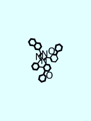 C1=C(c2nc(-c3ccc4ccccc4c3)nc(-c3ccccc3-c3cccc4oc5ccccc5c34)n2)c2oc3ccccc3c2CC1